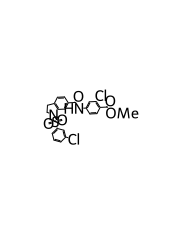 COC(=O)c1ccc(NC(=O)c2ccc3c(c2)N(S(=O)(=O)c2cccc(Cl)c2)CC3)cc1Cl